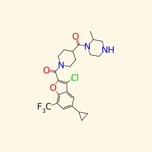 CC1CNCCN1C(=O)C1CCN(C(=O)c2oc3c(C(F)(F)F)cc(C4CC4)cc3c2Cl)CC1